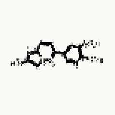 COc1ncc(-c2ccc3nc(N)cn3n2)cc1C(=O)O